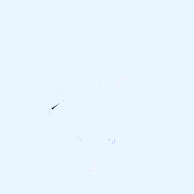 O=C1NCC2(C[C@@H]3CC(F)(F)CC[C@H]3[C@@H]2COCc2ccccc2)N1